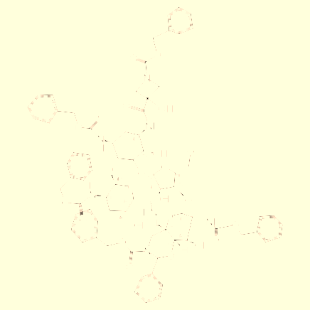 NC[C@H]1O[C@H](O[C@H]2C(O[C@@H]3O[C@H](CO)[C@@H](O[C@H]4O[C@H]5CN(C(=O)OCc6ccccc6)C(c6ccccc6)O[C@H]5[C@H](O)[C@H]4NC(=O)OCc4ccccc4)[C@H]3O)[C@@H](O)[C@H](NC(=O)C3(O)CN(C(=O)OCc4ccccc4)C3)C[C@@H]2NC(=O)OCc2ccccc2)[C@H](NC(=O)OCc2ccccc2)C[C@H]1O